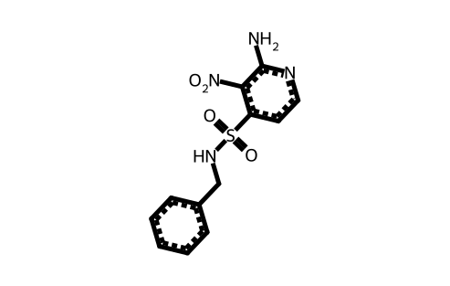 Nc1nccc(S(=O)(=O)NCc2ccccc2)c1[N+](=O)[O-]